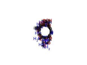 CC[C@H](C)C(NN[C@H](C)C(N)=O)C(=O)CN[C@@H](C)C(=O)CCN[C@@H](C)C(=O)CC(=O)[C@]1(C)CCCc2cn(nn2)CCCCCC[C@@](C)(NC(=O)[C@H](Cc2ccccc2)NN[C@H](C(=O)C(=O)[C@H](CC(C)C)NC(C)=O)[C@@H](C)O)C(=O)CN[C@@H](C)C(=O)CN[C@@H](Cc2ccc(O)cc2)C(=O)N[C@@H](Cc2c[nH]c3ccccc23)C(=O)CN[C@@H](C)C(=O)CC(=O)[C@H](CCC(N)=O)NN[C@@H](CC(C)C)C(=O)N1